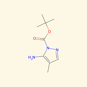 Cc1cnn(C(=O)OC(C)(C)C)c1N